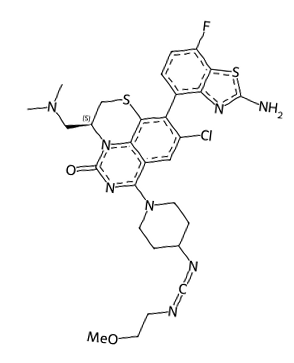 COCCN=C=NC1CCN(c2nc(=O)n3c4c(c(-c5ccc(F)c6sc(N)nc56)c(Cl)cc24)SC[C@@H]3CN(C)C)CC1